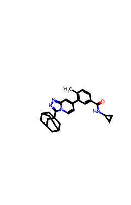 Cc1ccc(C(=O)NC2CC2)cc1-c1ccn2c(C34CC5CC(CC(C5)C3)C4)nnc2c1